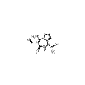 N=CC1=C(N)n2cccc2C(C(N)=O)NC1=O